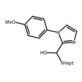 CCCCCCCC(O)c1nccn1-c1ccc(OC)cc1